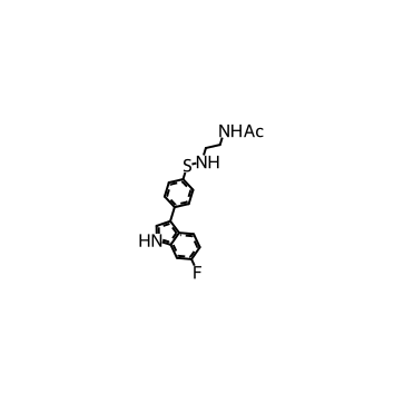 CC(=O)NCCNSc1ccc(-c2c[nH]c3cc(F)ccc23)cc1